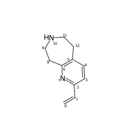 C=Cc1ccc2c(n1)CCNCC2